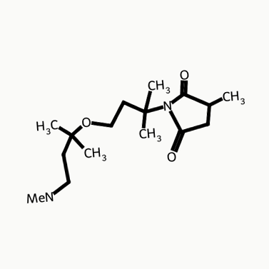 CNCCC(C)(C)OCCC(C)(C)N1C(=O)CC(C)C1=O